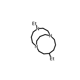 CCC1CCCN2CCCN(CCCN(CC)CC2)CC1